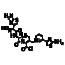 Nc1nc(C(=NO)C(=O)N[C@@H]2C(=O)N3C(C(=O)Cl)=C(C[n+]4cccc(-c5csc(N)n5)c4)CS[C@@H]23)cs1